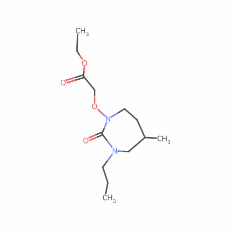 CCCN1CC(C)CCN(OCC(=O)OCC)C1=O